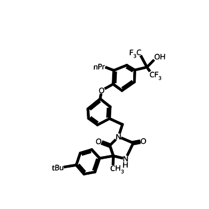 CCCc1cc(C(O)(C(F)(F)F)C(F)(F)F)ccc1Oc1cccc(CN2C(=O)NC(C)(c3ccc(C(C)(C)C)cc3)C2=O)c1